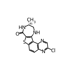 C[C@@H]1CNc2c(sc3ccc4nc(Cl)cnc4c23)C(=O)N1